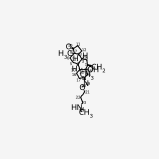 C=C1C[C@@H]2[C@@H](CC[C@]3(C)C(=O)CC[C@@H]23)[C@@]2(C)CCC(=NOCCCNC)CC12O